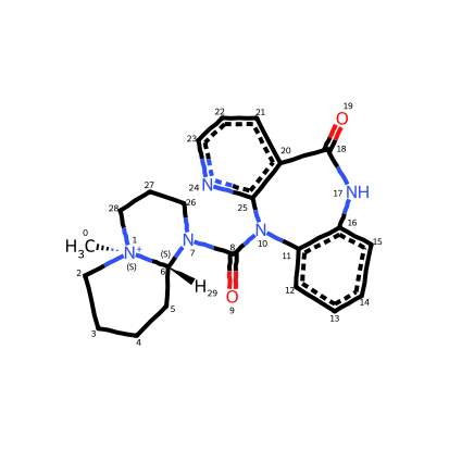 C[N@@+]12CCCC[C@H]1N(C(=O)N1c3ccccc3NC(=O)c3cccnc31)CCC2